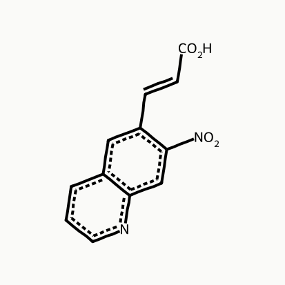 O=C(O)C=Cc1cc2cccnc2cc1[N+](=O)[O-]